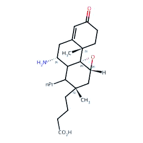 CCCC1C2[C@H](N)CC3=CC(=O)CC[C@]3(C)[C@]23O[C@@H]3C[C@]1(C)CCCC(=O)O